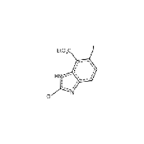 CCOC(=O)c1c(F)ccc2nc(Cl)[nH]c12